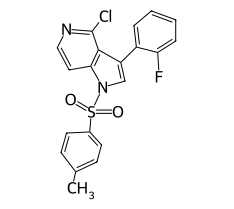 Cc1ccc(S(=O)(=O)n2cc(-c3ccccc3F)c3c(Cl)nccc32)cc1